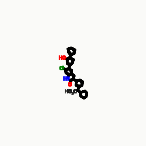 O=C(O)C(c1cccc(-c2cc3cc(-c4ccc(-c5ccccc5)c(O)c4)c(Cl)cc3[nH]c2=O)c1)C1CCCCC1